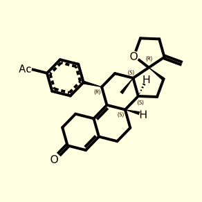 C=C1CCO[C@]12CC[C@H]1[C@@H]3CCC4=CC(=O)CCC4=C3[C@@H](c3ccc(C([11CH3])=O)cc3)C[C@@]12C